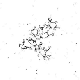 CCC[C@@H](CN(C)C)N(Cc1cccc(CN2O[C@@H](CO)[C@@H]([C@H](C)O)[C@H]2C(=O)N[C@H]2C[C@@H](C)C(C)(C)[C@@H](C)[C@@H]2C)c1)Cc1ccccc1Cl